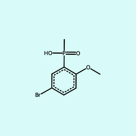 COc1ccc(Br)cc1P(C)(=O)O